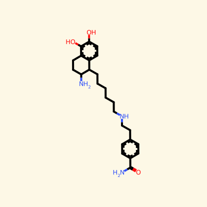 NC(=O)c1ccc(CCNCCCCCCC2c3ccc(O)c(O)c3CCC2N)cc1